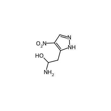 NC(O)Cc1[nH]ncc1[N+](=O)[O-]